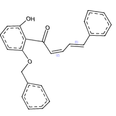 O=C(/C=C\C=C\c1ccccc1)c1c(O)cccc1OCc1ccccc1